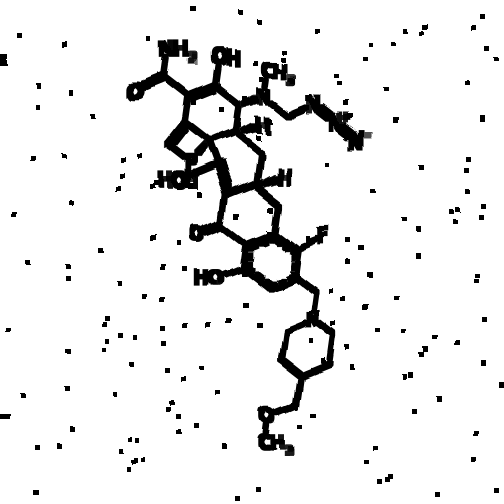 COCC1CCN(Cc2cc(O)c3c(c2F)C[C@H]2C[C@H]4[C@H](N(C)CN=[N+]=[N-])C(O)=C(C(N)=O)C5=CP[C@@]54C(O)=C2C3=O)CC1